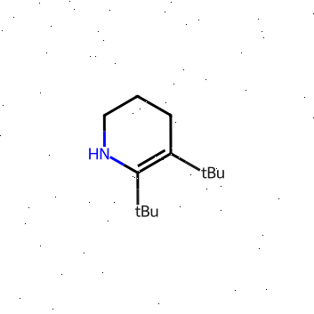 CC(C)(C)C1=C(C(C)(C)C)NCCC1